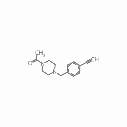 C#Cc1ccc(CN2CCN(C(C)=O)CC2)cc1